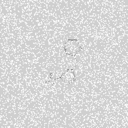 CS(=O)(=O)c1ncc(Oc2ccccc2)s1